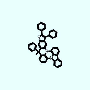 CC1(c2ccccc2)c2cc3sc(-c4ccccc4)c(-c4ccccc4)c3cc2B2c3c(cccc31)-n1c3ccccc3c3cccc2c31